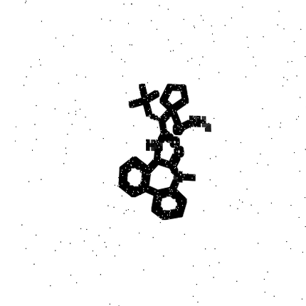 CN1C(=O)C(NC(=O)[C@H](CC(C)(C)C)C2(C(N)=O)CCCC2)c2ccccc2-c2ccccc21